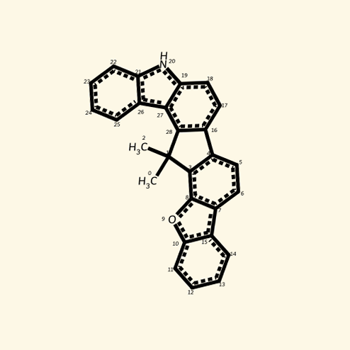 CC1(C)c2c(ccc3c2oc2ccccc23)-c2ccc3[nH]c4ccccc4c3c21